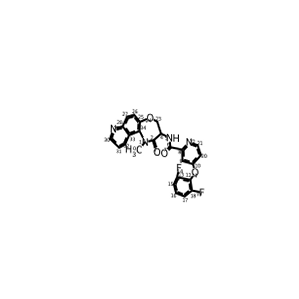 CN1C(=O)C(NC(=O)c2cc(Oc3c(F)cccc3F)ccn2)COc2ccc3ncccc3c21